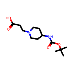 CC(C)(C)OC(=O)NC1CCN(CCC(=O)O)CC1